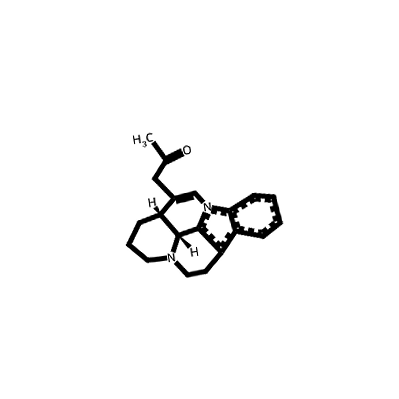 CC(=O)CC1=Cn2c3c(c4ccccc42)CCN2CCC[C@H]1[C@H]32